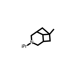 CC(C)N1CC2CC3(C)CC(C1)C23